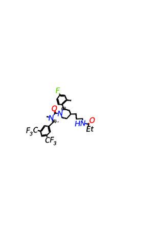 CCC(=O)NCCCC1CCN(C(=O)N(C)[C@H](C)c2cc(C(F)(F)F)cc(C(F)(F)F)c2)[C@@H](c2ccc(F)cc2C)C1